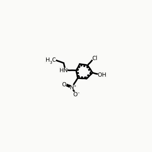 CCNc1cc(Cl)c(O)cc1[N+](=O)[O-]